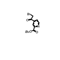 CC(C)COC(=O)c1cc(C(=O)CBr)ccn1